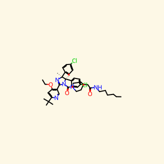 CCCCCCNC(=O)CC1CCN(C(=O)N2C(c3cnc(C(C)(C)C)cc3OCC)=N[C@@](C)(c3ccc(Cl)cc3)[C@@]2(C)c2ccc(Cl)cc2)CC1